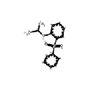 CC(C)Oc1ccccc1S(=O)(=O)c1ccccc1